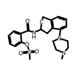 CN1CCN(c2cccc3c2CC(NC(=O)c2ccccc2OS(C)(=O)=O)CC3)CC1